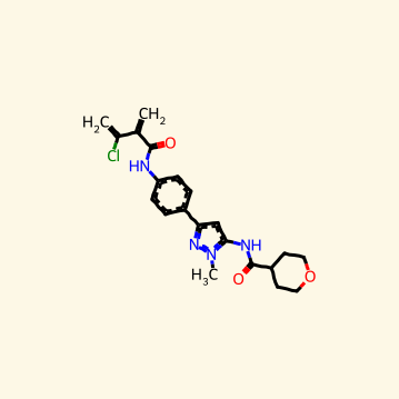 C=C(Cl)C(=C)C(=O)Nc1ccc(-c2cc(NC(=O)C3CCOCC3)n(C)n2)cc1